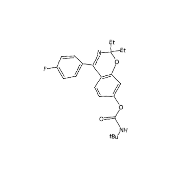 CCC1(CC)N=C(c2ccc(F)cc2)c2ccc(OC(=O)NC(C)(C)C)cc2O1